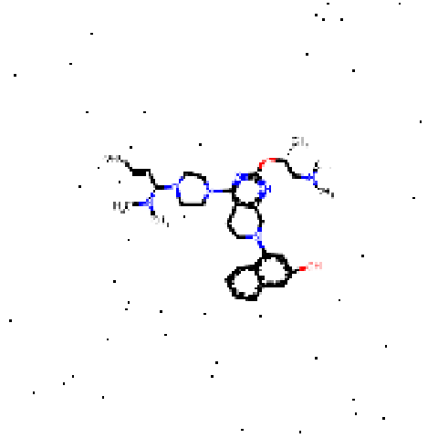 C[C@H](CN(C)C)Oc1nc2c(c(N3CCN([C@H](/C=C/C=O)N(C)C)CC3)n1)CCN(c1cc(O)cc3ccccc13)C2